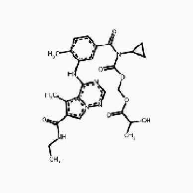 CCNC(=O)c1cn2ncnc(Nc3cc(C(=O)N(C(=O)OCOC(=O)C(C)O)C4CC4)ccc3C)c2c1C